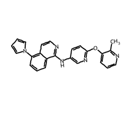 Cc1ncccc1Oc1ccc(Nc2nccc3c(-n4cccc4)cccc23)cn1